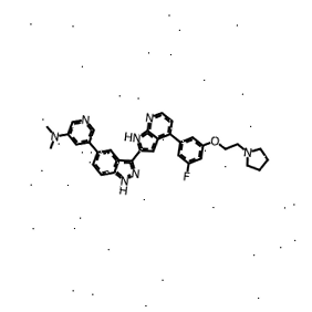 CN(C)c1cncc(-c2ccc3[nH]nc(-c4cc5c(-c6cc(F)cc(OCCN7CCCC7)c6)ccnc5[nH]4)c3c2)c1